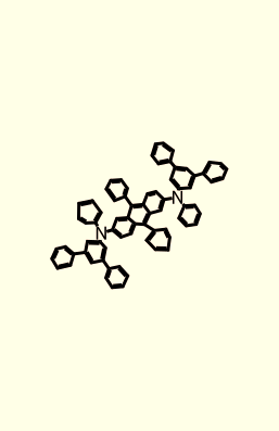 c1ccc(-c2cc(-c3ccccc3)cc(N(c3ccccc3)c3ccc4c(-c5ccccc5)c5cc(N(c6ccccc6)c6cc(-c7ccccc7)cc(-c7ccccc7)c6)ccc5c(-c5ccccc5)c4c3)c2)cc1